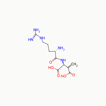 C=C(C(=O)O)[C@H](NC(=O)[C@@H](N)CCCNC(=N)N)C(=O)O